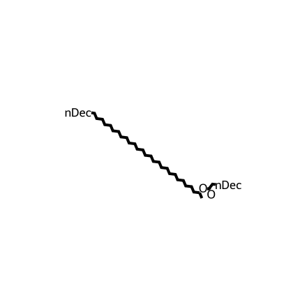 CCCCCCCCCCCCCCCCCCCCCCCCCCCCCCCCCCCCC(C)OC(=O)CCCCCCCCCCC